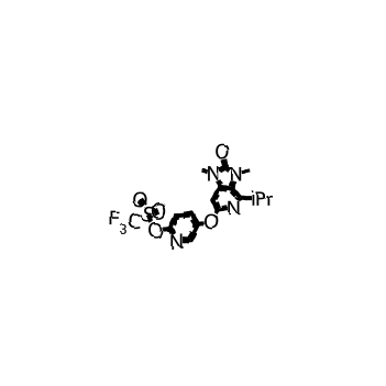 CC(C)c1nc(Oc2ccc(OS(=O)(=O)C(F)(F)F)nc2)cc2c1n(C)c(=O)n2C